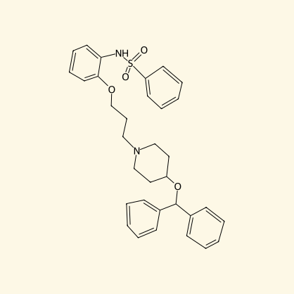 O=S(=O)(Nc1ccccc1OCCCN1CCC(OC(c2ccccc2)c2ccccc2)CC1)c1ccccc1